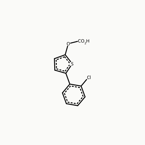 O=C(O)Oc1ccc(-c2ccccc2Cl)s1